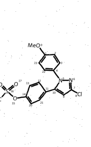 COc1ccc(-n2nc(Cl)cc2-c2ccc(OS(=O)(=O)C(F)(F)F)cc2)cc1